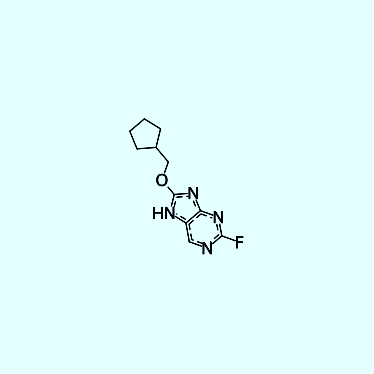 Fc1ncc2[nH]c(OCC3CCCC3)nc2n1